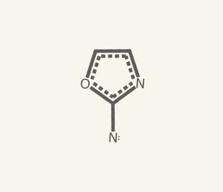 [N]c1ncco1